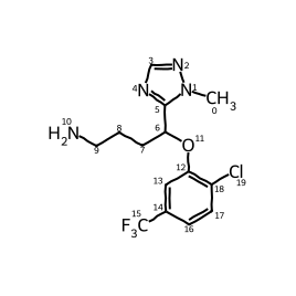 Cn1ncnc1C(CCCN)Oc1cc(C(F)(F)F)ccc1Cl